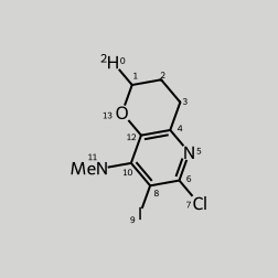 [2H]C1CCc2nc(Cl)c(I)c(NC)c2O1